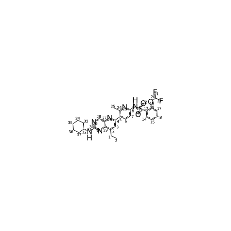 CCc1cc(-c2ccc(NS(=O)(=O)c3ccccc3OC(F)F)nc2C)nc2cnc(NC3CCCCC3)nc12